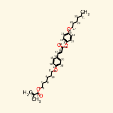 C=C(C)C(=O)OCCCCCCOc1ccc(/C=C/C(=O)Oc2ccc(OCCCCCC)cc2)cc1